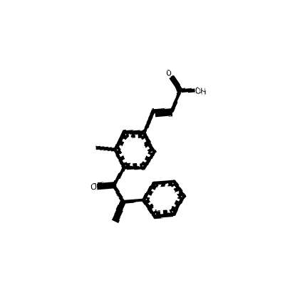 C=C(C(=O)c1ccc(C=CC(=O)O)cc1C)c1ccccc1